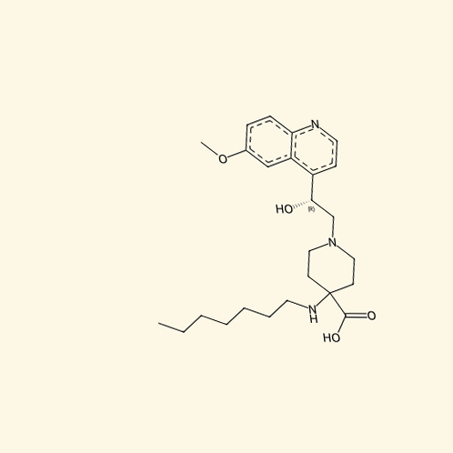 CCCCCCCNC1(C(=O)O)CCN(C[C@H](O)c2ccnc3ccc(OC)cc23)CC1